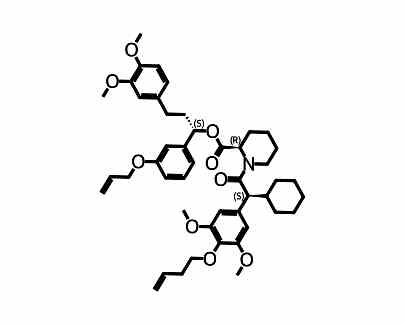 C=CCCOc1c(OC)cc([C@@H](C(=O)N2CCCC[C@@H]2C(=O)O[C@@H](CCc2ccc(OC)c(OC)c2)c2cccc(OCC=C)c2)C2CCCCC2)cc1OC